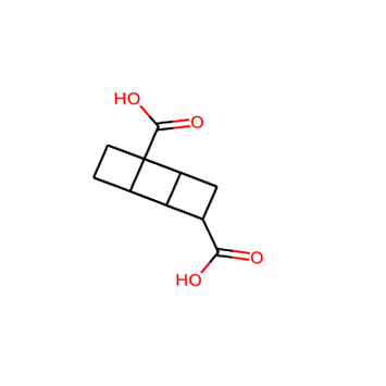 O=C(O)C12C3C4C1C1C2C3C41C(=O)O